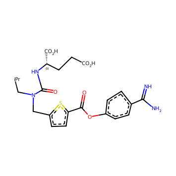 CC(C)CN(Cc1ccc(C(=O)Oc2ccc(C(=N)N)cc2)s1)C(=O)N[C@@H](CCC(=O)O)C(=O)O